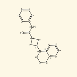 O=C(Nc1ccccc1)N1CC(N2CCCc3ccccc32)C1